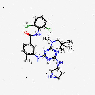 Cc1ccc(C(=O)Nc2c(Cl)cccc2Cl)cc1Nc1nc(N[C@H]2CCNC2)nc(N(C)CC(C)(C)C)n1